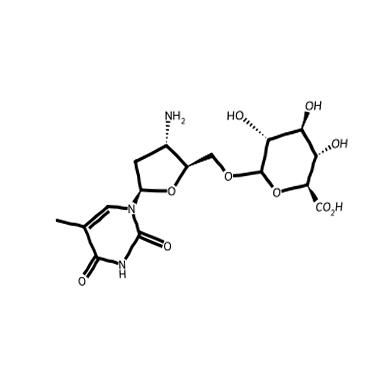 Cc1cn([C@H]2C[C@H](N)[C@@H](COC3O[C@H](C(=O)O)[C@@H](O)[C@H](O)[C@H]3O)O2)c(=O)[nH]c1=O